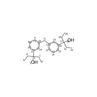 CCC(O)(CC)c1cccc(Cc2cccc(C(O)(CC)CC)c2)c1